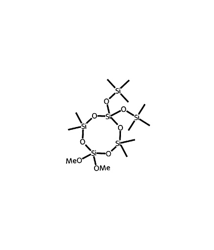 CO[Si]1(OC)O[Si](C)(C)O[Si](O[Si](C)(C)C)(O[Si](C)(C)C)O[Si](C)(C)O1